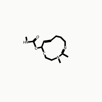 CNC(=O)OC1/C=C/CCC/N=C(/C)N(C)CCC1